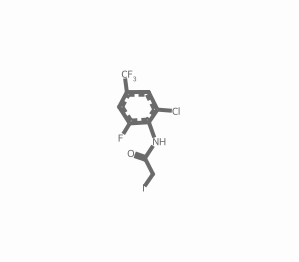 O=C(CI)Nc1c(F)cc(C(F)(F)F)cc1Cl